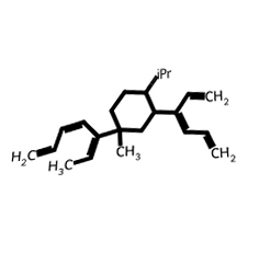 C=C/C=C\C(=C/C)C1(C)CCC(C(C)C)C(/C(C=C)=C/C=C)C1